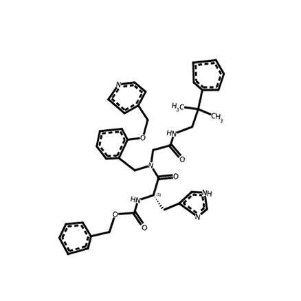 CC(C)(CNC(=O)CN(Cc1ccccc1OCc1ccncc1)C(=O)[C@H](Cc1c[nH]cn1)NC(=O)OCc1ccccc1)c1ccccc1